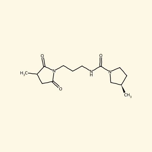 CC1CC(=O)N(CCCNC(=O)N2CC[C@@H](C)C2)C1=O